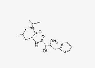 CC(C)CC(NC(=O)C(O)C(N)Cc1ccccc1)C(=O)NC(C)C